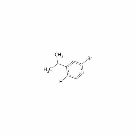 CC(C)c1cc(Br)ccc1F